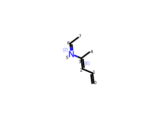 C=C/C=C(C)/N=C\C